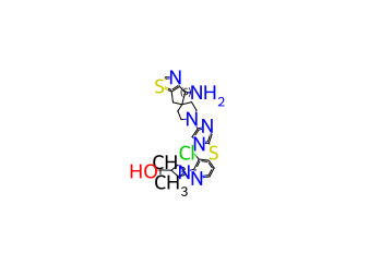 CC(C)(O)C1CN(c2nccc(Sc3cnc(N4CCC5(CC4)Cc4scnc4[C@H]5N)cn3)c2Cl)C1